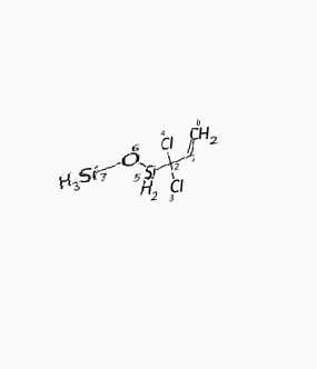 C=CC(Cl)(Cl)[SiH2]O[SiH3]